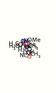 COCc1nnc([C@]2(CCC(C)(C)[C@]3(C)CC[C@H]4[C@H](C)C(=O)C(C#N)=C[C@]4(C)/C3=C/C(C)=O)CCC(C)(C)CC2C)o1